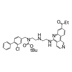 CCC(=O)c1ccc2c(c1)nc(NCCNCCN(Cc1ccc(-c3ccccc3)c(Cl)c1)C(=O)OC(C)(C)C)c1ccncc12